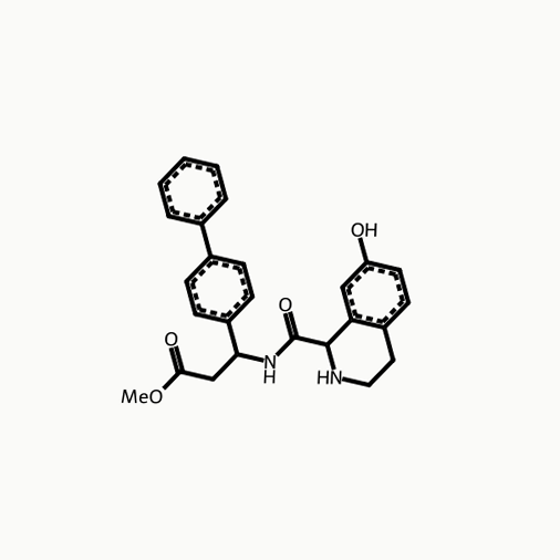 COC(=O)CC(NC(=O)C1NCCc2ccc(O)cc21)c1ccc(-c2ccccc2)cc1